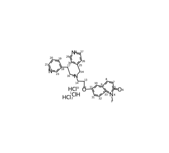 Cl.Cl.Cl.Cn1c(=O)ccc2cc(OCCN(CCc3cccnc3)Cc3ccncc3)ccc21